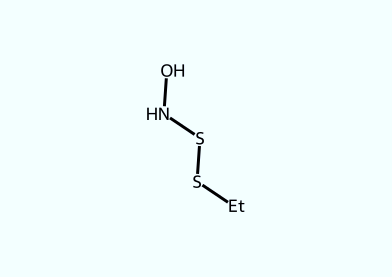 CCSSNO